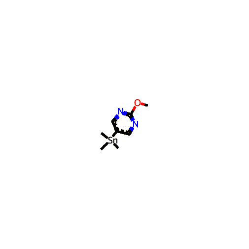 COc1nc[c]([Sn]([CH3])([CH3])[CH3])cn1